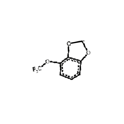 FC(F)(F)Oc1cccc2c1O[CH]O2